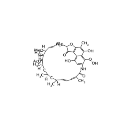 CO[C@H]1/C=C/O[C@@]2(C)Oc3c(C)c(O)c4c(OO)c(cc(O)c4c3C2=O)NC(=O)/C(C)=C\C=C\[C@H](C)C[C@@H](C)C[C@@H](C)[C@H](OC(C)=O)[C@@H]1C